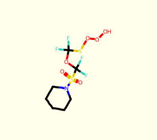 O=S(=O)(N1CCCCC1)C(F)(F)OC(F)(F)SOOO